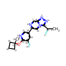 CC(F)c1nnc2cnc(-c3cnc(OC4(C(F)(F)F)CCC4)c(F)c3)cn12